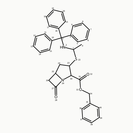 CC(NC(c1ccccc1)(c1ccccc1)c1ccccc1)SC1CC2CC(=O)N2C1C(=O)OCc1ccccc1